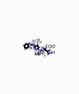 Cc1cc(N(C)c2nc(C(=O)[O-])c(C3CNC3)s2)nnc1Nc1nc2ccccc2s1.[Na+]